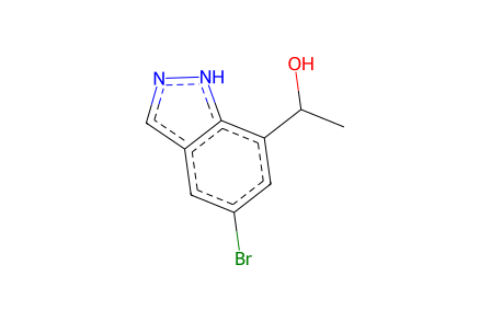 CC(O)c1cc(Br)cc2cn[nH]c12